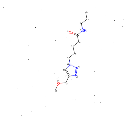 CCCNC(=O)CCCCn1cc(COC)nn1